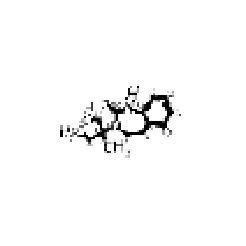 CCC(C)(CC)N1CCc2ccccc2NC1=O